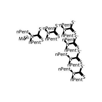 CCCCCN(CCCCC)C(=S)[S-].CCCCCN(CCCCC)C(=S)[S-].CCCCCN(CCCCC)C(=S)[S-].CCCCCN(CCCCC)C(=S)[S-].CCCCCN(CCCCC)C(=S)[S-].CCCCCN(CCCCC)C(=S)[S-].[Mo+6].[S-2]